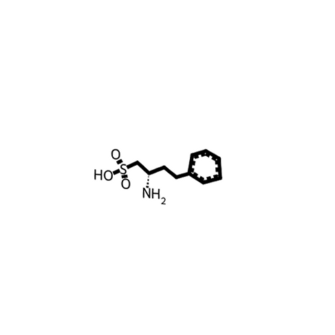 N[C@@H](CCc1ccccc1)CS(=O)(=O)O